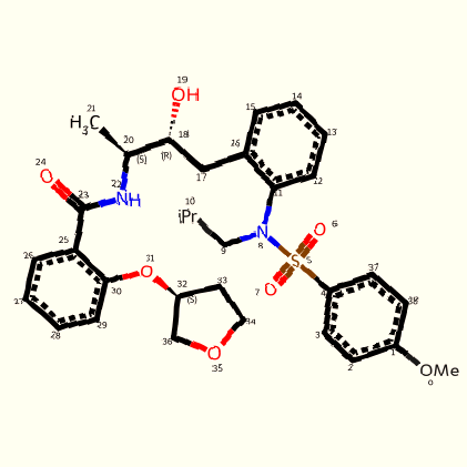 COc1ccc(S(=O)(=O)N(CC(C)C)c2ccccc2C[C@@H](O)[C@H](C)NC(=O)c2ccccc2O[C@H]2CCOC2)cc1